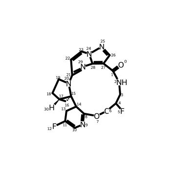 O=C1NCC(F)COC2=NC=C(F)CC2[C@@]23C[C@@H]2CCN3c2ccn3ncc1c3n2